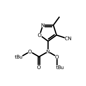 Cc1noc(N(OC(C)(C)C)C(=O)OC(C)(C)C)c1C#N